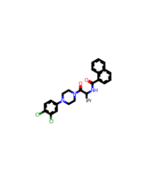 CC(C)C(NC(=O)c1cccc2ccccc12)C(=O)N1CCN(c2ccc(Cl)c(Cl)c2)CC1